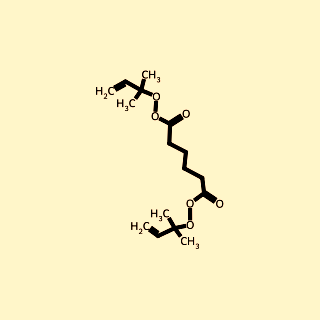 C=CC(C)(C)OOC(=O)CCCCC(=O)OOC(C)(C)C=C